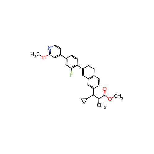 COC(=O)C(C)C(c1ccc2c(c1)C=C(c1ccc(-c3ccnc(OC)c3)cc1F)CC2)C1CC1